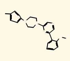 CCOc1ccccc1-c1cncc(N2CCN(c3ccc(C(C)=O)cc3)CC2)n1